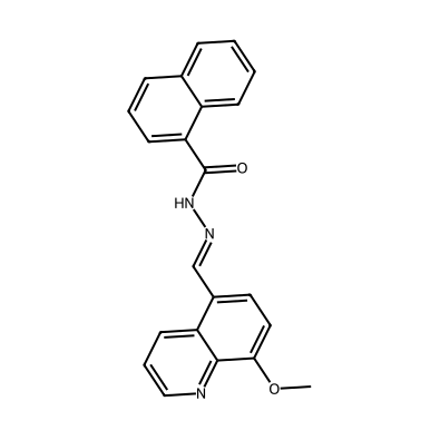 COc1ccc(/C=N/NC(=O)c2cccc3ccccc23)c2cccnc12